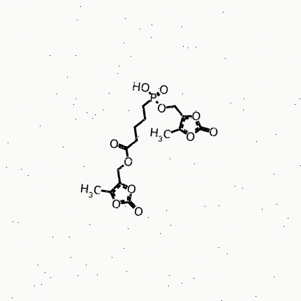 Cc1oc(=O)oc1COC(=O)CCCCP(=O)(O)OCc1oc(=O)oc1C